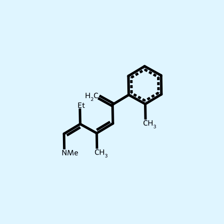 C=C(/C=C(C)\C(=C/NC)CC)c1ccccc1C